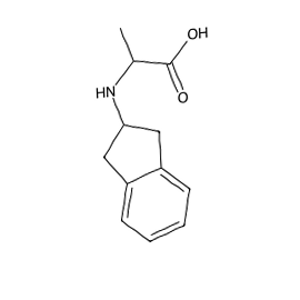 CC(NC1Cc2ccccc2C1)C(=O)O